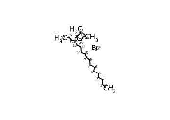 CCCCCCCCCCCCCC[P+](CCC)(CCC)CCC.[Br-]